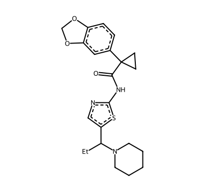 CCC(c1cnc(NC(=O)C2(c3ccc4c(c3)OCO4)CC2)s1)N1CCCCC1